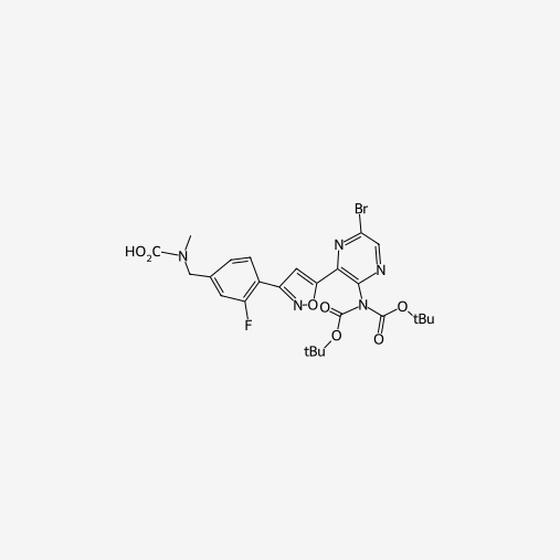 CN(Cc1ccc(-c2cc(-c3nc(Br)cnc3N(C(=O)OC(C)(C)C)C(=O)OC(C)(C)C)on2)c(F)c1)C(=O)O